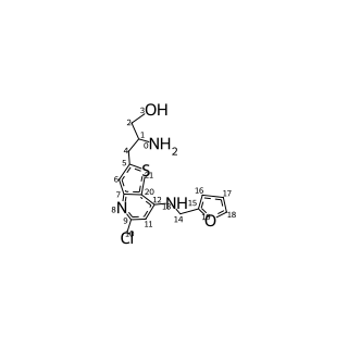 NC(CO)Cc1cc2nc(Cl)cc(NCc3ccco3)c2s1